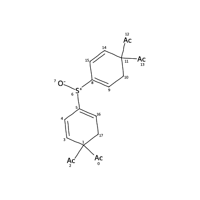 CC(=O)C1(C(C)=O)C=CC([S+]([O-])C2=CCC(C(C)=O)(C(C)=O)C=C2)=CC1